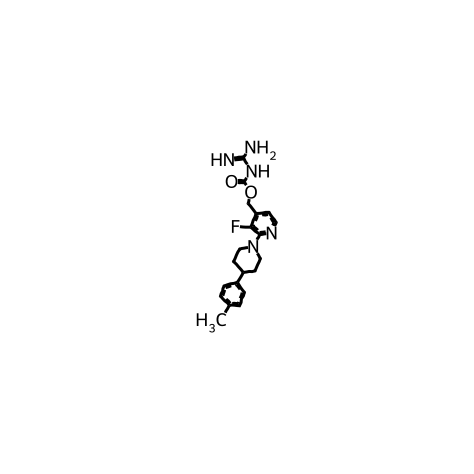 Cc1ccc(C2CCN(c3nccc(COC(=O)NC(=N)N)c3F)CC2)cc1